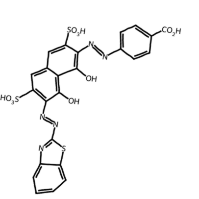 O=C(O)c1ccc(N=Nc2c(S(=O)(=O)O)cc3cc(S(=O)(=O)O)c(N=Nc4nc5ccccc5s4)c(O)c3c2O)cc1